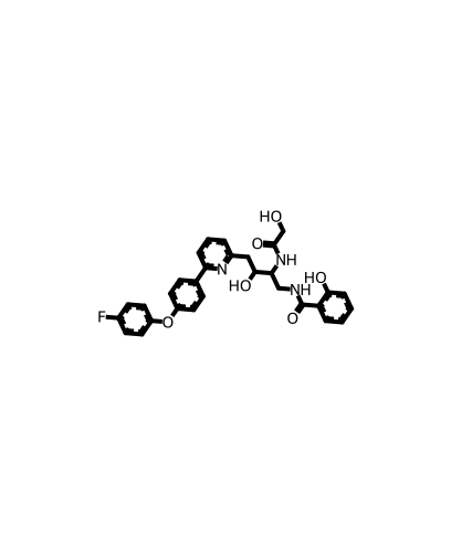 O=C(CO)NC(CNC(=O)c1ccccc1O)C(O)Cc1cccc(-c2ccc(Oc3ccc(F)cc3)cc2)n1